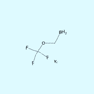 BCOC(F)(F)F.[K]